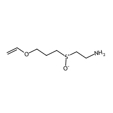 C=COCCC[S+]([O-])CCN